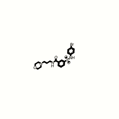 O=C(NCCCN1CCOCC1)c1cccc(S(=O)(=O)Nc2ccc(Br)cc2)c1